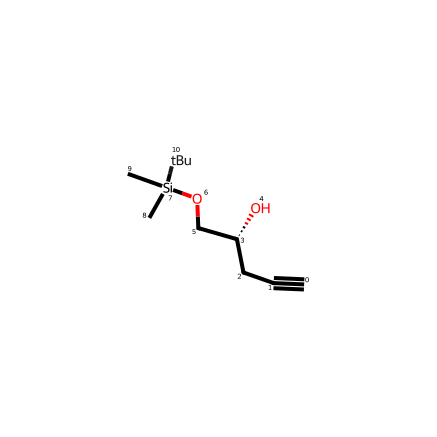 C#CC[C@@H](O)CO[Si](C)(C)C(C)(C)C